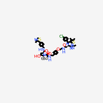 Cc1ncsc1-c1ccc(CNC(=O)[C@@H]2C[C@@H](O)CN2C(=O)[C@@H](NC(=O)Cc2ccc(OCCNC(=O)C[C@@H]3N=C(c4ccc(Cl)cc4)c4c(sc(C)c4C)-n4c(C)nnc43)cc2)C(C)(C)C)cc1